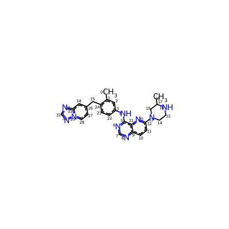 Cc1cc(Nc2ncnc3ccc(N4CCNC(C)C4)nc23)ccc1Cc1ccn2ncnc2c1